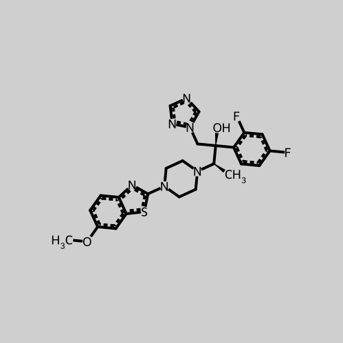 COc1ccc2nc(N3CCN([C@H](C)[C@](O)(Cn4cncn4)c4ccc(F)cc4F)CC3)sc2c1